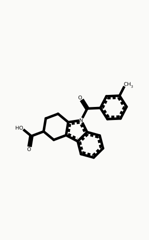 Cc1cccc(C(=O)n2c3c(c4ccccc42)CC(C(=O)O)CC3)c1